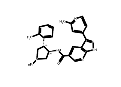 CCCN1C[C@H](NC(=O)c2cnc3[nH]nc(-c4ccnc(C)c4)c3c2)[C@@H](c2ccccc2C(F)(F)F)C1